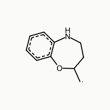 [CH2]C1CCNc2ccccc2O1